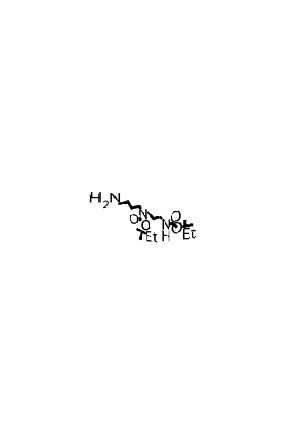 CCC(C)(C)OC(=O)NCCCN(CCCCN)C(=O)OC(C)(C)CC